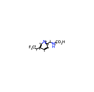 O=C(O)NCc1ccc(CC(F)(F)F)cn1